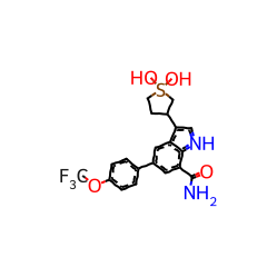 NC(=O)c1cc(-c2ccc(OC(F)(F)F)cc2)cc2c(C3CCS(O)(O)C3)c[nH]c12